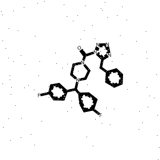 O=C(N1CCN(C(c2ccc(F)cc2)c2ccc(F)cc2)CC1)n1nnnc1Cc1ccccc1